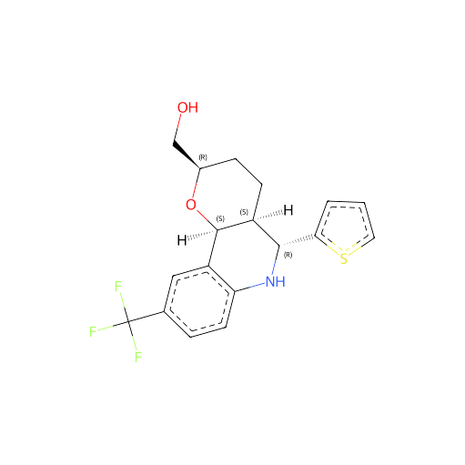 OC[C@H]1CC[C@@H]2[C@H](O1)c1cc(C(F)(F)F)ccc1N[C@H]2c1cccs1